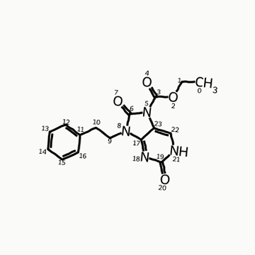 CCOC(=O)n1c(=O)n(CCc2ccccc2)c2nc(=O)[nH]cc21